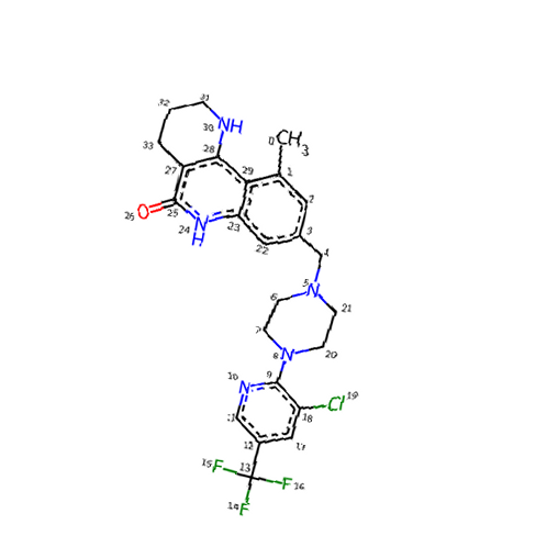 Cc1cc(CN2CCN(c3ncc(C(F)(F)F)cc3Cl)CC2)cc2[nH]c(=O)c3c(c12)NCCC3